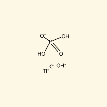 O=P([O-])(O)O.[K+].[OH-].[Tl+]